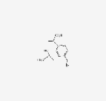 CC(C)Cc1ccc(C(C)C(=O)O)cc1.CC(O)C(=O)O